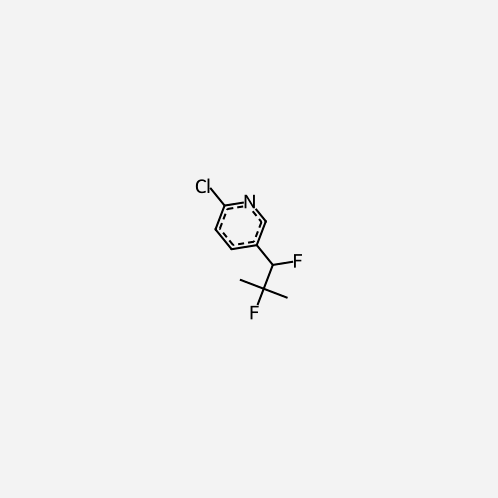 CC(C)(F)C(F)c1ccc(Cl)nc1